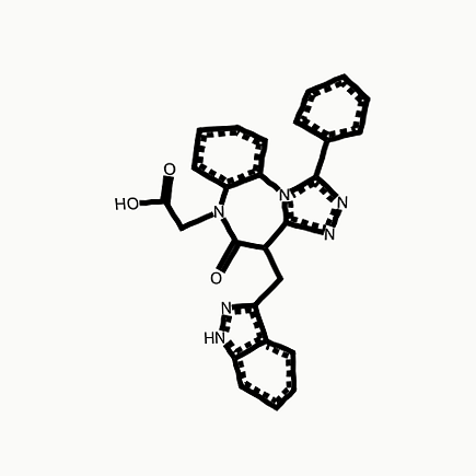 O=C(O)CN1C(=O)C(Cc2n[nH]c3ccccc23)c2nnc(-c3ccccc3)n2-c2ccccc21